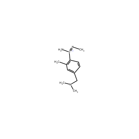 C/N=S(/N)c1ccc(CN(C)C)cc1C